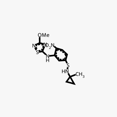 COc1nsc(Nc2cc(SNC3(C)CC3)ccc2[N+](=O)[O-])n1